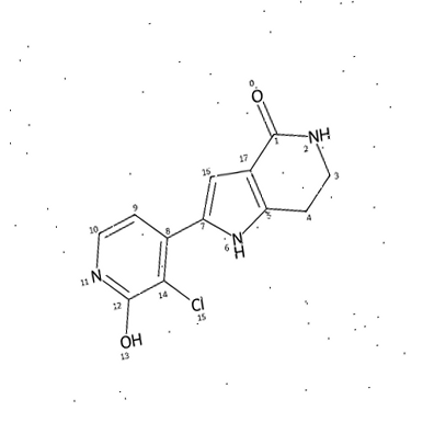 O=C1NCCc2[nH]c(-c3ccnc(O)c3Cl)cc21